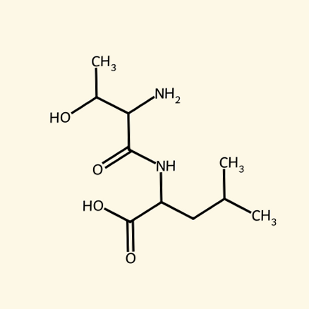 CC(C)CC(NC(=O)C(N)C(C)O)C(=O)O